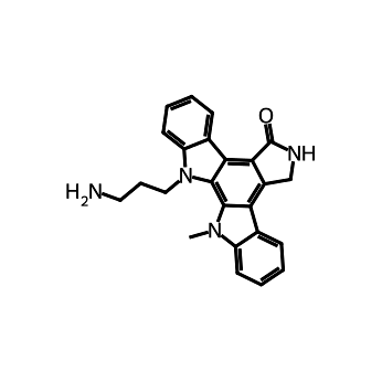 Cn1c2ccccc2c2c3c(c4c5ccccc5n(CCCN)c4c21)C(=O)NC3